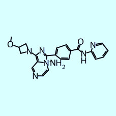 COC1CN(C2=C3C=NC=C[N+]3(N)C(c3ccc(C(=O)Nc4ccccn4)cc3)=N2)C1